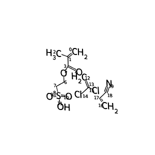 C=C(C)C(=O)OCCS(=O)(=O)O.C=C(Cl)Cl.C=CC#N